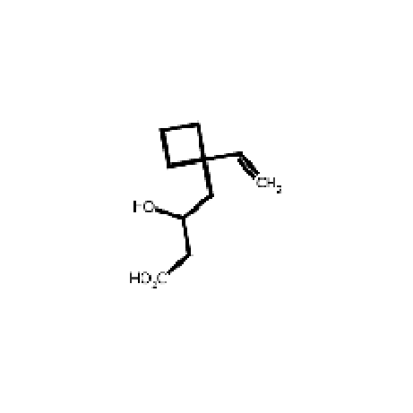 C=CC1(CC(O)CC(=O)O)CCC1